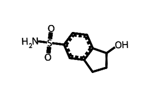 NS(=O)(=O)c1ccc2c(c1)CCC2O